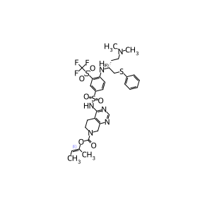 C/C=C(\C)OC(=O)N1CCc2c(ncnc2NS(=O)(=O)c2ccc(N[C@H](CCN(C)C)CSc3ccccc3)c(S(=O)(=O)C(F)(F)F)c2)C1